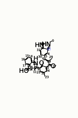 CN/C=C1/C=C(c2oc3c(C(C)Nc4ccccc4PO)cc(C)cc3c(=O)c2C)C=CC1=N